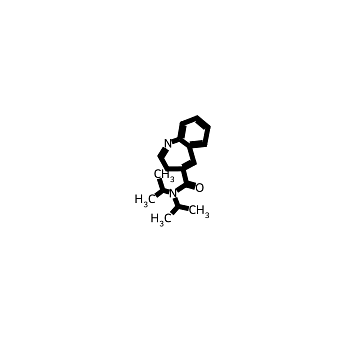 CC(C)N(C(=O)C1=Cc2ccccc2N=CC1)C(C)C